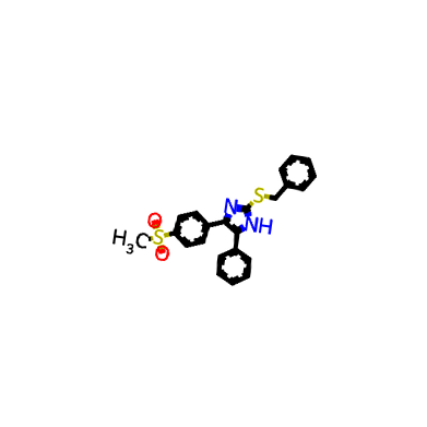 CS(=O)(=O)c1ccc(-c2nc(SCc3ccccc3)[nH]c2-c2ccccc2)cc1